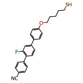 N#Cc1ccc(-c2ccc(-c3ccc(OCCCCCS)cc3)cc2F)cc1